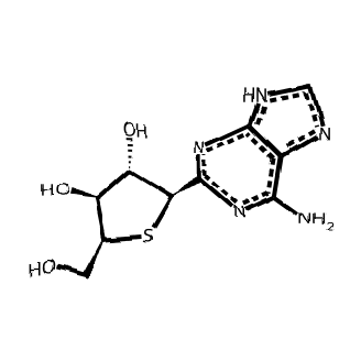 Nc1nc([C@H]2S[C@@H](CO)[C@@H](O)[C@@H]2O)nc2[nH]cnc12